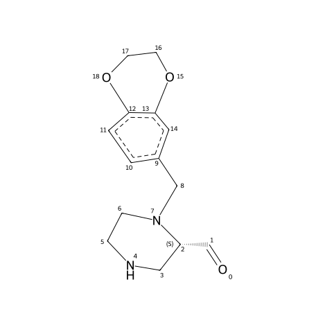 O=C[C@@H]1CNCCN1Cc1ccc2c(c1)OCCO2